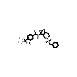 CC(C)(C)c1ccc(C(=O)Nc2[nH]nc3c2CN(S(=O)(=O)Cc2ccccc2)CC3)cc1